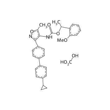 COc1ccccc1C(C)OC(=O)Nc1c(-c2ccc(-c3ccc(C4CC4)cc3)cc2)noc1C.O=C(O)O